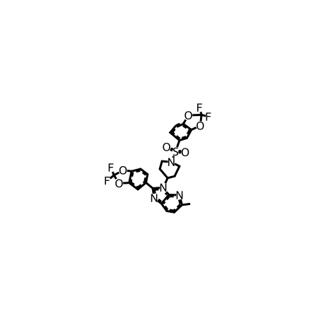 Cc1ccc2nc(-c3ccc4c(c3)OC(F)(F)O4)n(C3CCN(S(=O)(=O)c4ccc5c(c4)OC(F)(F)O5)CC3)c2n1